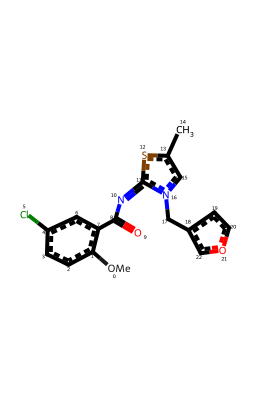 COc1ccc(Cl)cc1C(=O)N=c1sc(C)cn1Cc1ccoc1